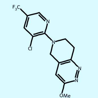 COc1cc2c(nn1)CCN(c1ncc(C(F)(F)F)cc1Cl)C2